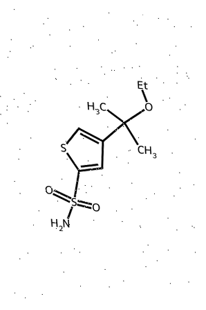 CCOC(C)(C)c1csc(S(N)(=O)=O)c1